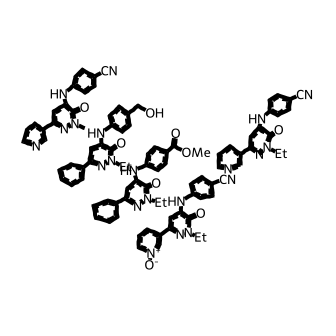 CCn1nc(-c2ccc[n+]([O-])c2)cc(Nc2ccc(C#N)cc2)c1=O.CCn1nc(-c2ccccc2)cc(Nc2ccc(C(=O)OC)cc2)c1=O.CCn1nc(-c2ccccc2)cc(Nc2ccc(CO)cc2)c1=O.CCn1nc(-c2cccnc2)cc(Nc2ccc(C#N)cc2)c1=O.Cn1nc(-c2cccnc2)cc(Nc2ccc(C#N)cc2)c1=O